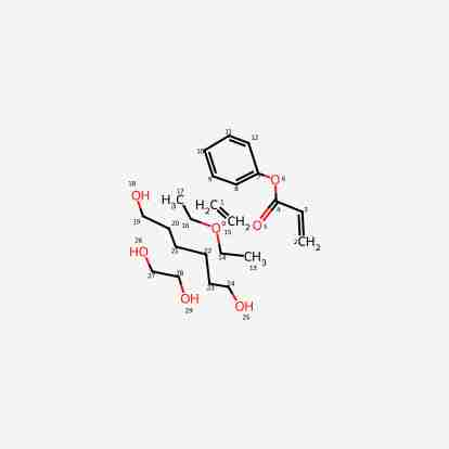 C=C.C=CC(=O)Oc1ccccc1.CCOCC.OCCCCCCO.OCCO